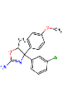 COc1ccc(C2(c3cccc(Br)c3)N=C(N)OC2C)cc1